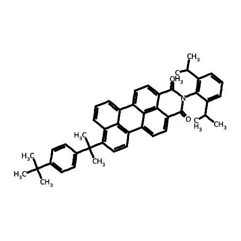 CC(C)c1cccc(C(C)C)c1N1C(=O)c2ccc3c4cccc5c(C(C)(C)c6ccc(C(C)(C)C)cc6)ccc(c6ccc(c2c36)C1=O)c54